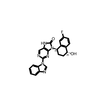 O=c1[nH]c2cnc(-n3cnc4ccccc43)nc2n1[C@@H]1CC[C@@H](O)c2ccc(F)cc21